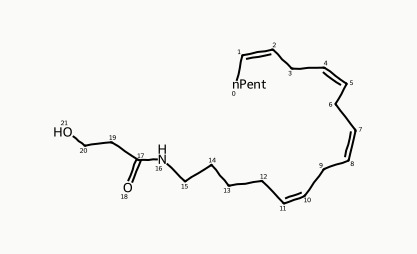 CCCCC/C=C\C/C=C\C/C=C\C/C=C\CCCCNC(=O)CCO